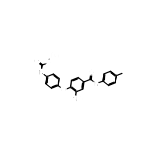 Cc1ccc(NC(=O)c2ccc(Oc3ccc(NC(=O)OC(C)(C)C)cc3)c([N+](=O)[O-])c2)cc1